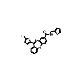 O=C(NCc1cccs1)c1ccc2c(c1)N=C(c1ccc(Cl)s1)c1ccccc1S2